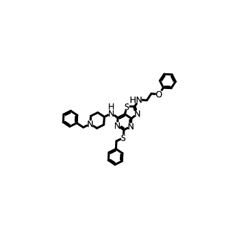 c1ccc(CSc2nc(NC3CCN(Cc4ccccc4)CC3)c3sc(NCCOc4ccccc4)nc3n2)cc1